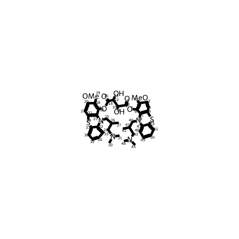 COc1ccc2c(c1OC(=O)C(O)C(O)C(=O)Oc1c(OC)ccc3c1N(CC(C)CN(C)C)c1ccccc1S3)N(CC(C)CN(C)C)c1ccccc1S2